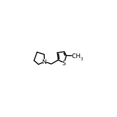 Cc1ccc(CN2CCCC2)s1